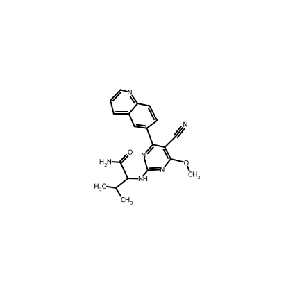 COc1nc(NC(C(N)=O)C(C)C)nc(-c2ccc3ncccc3c2)c1C#N